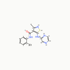 CCc1ccccc1NC(=O)c1c(C)nsc1Nc1cnccn1